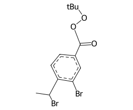 CC(Br)c1ccc(C(=O)OOC(C)(C)C)cc1Br